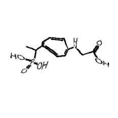 CC(c1ccc(NCC(=O)O)cc1)P(=O)(O)O